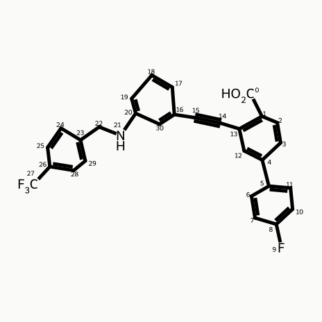 O=C(O)c1ccc(-c2ccc(F)cc2)cc1C#Cc1cccc(NCc2ccc(C(F)(F)F)cc2)c1